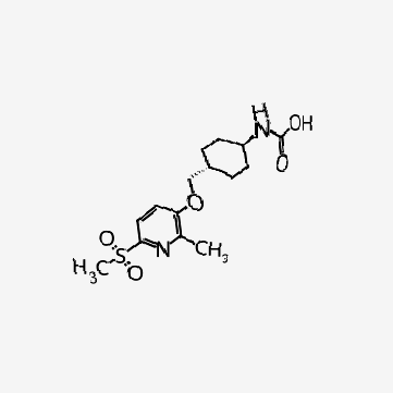 Cc1nc(S(C)(=O)=O)ccc1OC[C@H]1CC[C@H](NC(=O)O)CC1